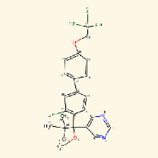 COC(c1cncnc1)(c1ccc(-c2ccc(OCC(F)(F)F)cc2)cc1F)C(C)(C)C